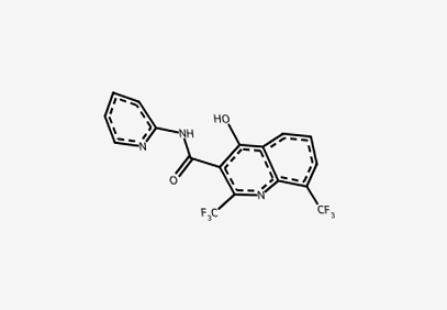 O=C(Nc1ccccn1)c1c(C(F)(F)F)nc2c(C(F)(F)F)cccc2c1O